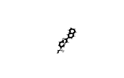 CC[S+]([O-])c1ccc2nc(-c3ccc4ccccc4c3)cn2c1